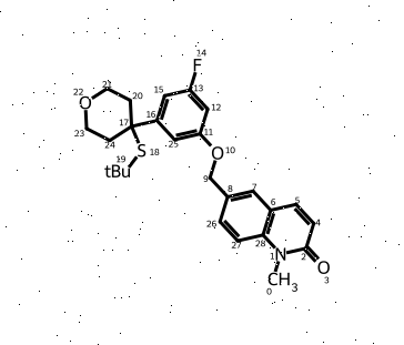 Cn1c(=O)ccc2cc(COc3cc(F)cc(C4(SC(C)(C)C)CCOCC4)c3)ccc21